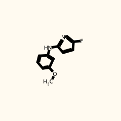 COc1cccc(Nc2ccc(F)cn2)c1